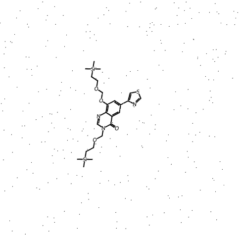 C[Si](C)(C)CCOCOc1cc(-c2cscn2)cc2c(=O)n(COCC[Si](C)(C)C)cnc12